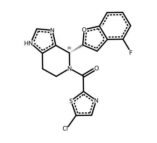 O=C(c1ncc(Cl)s1)N1CCc2[nH]cnc2[C@@H]1c1cc2c(F)cccc2o1